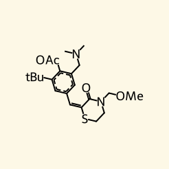 COCN1CCS/C(=C/c2cc(CN(C)C)c(OC(C)=O)c(C(C)(C)C)c2)C1=O